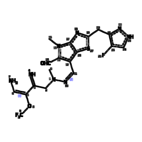 CN(CC(=N)/C(=C\N)OC(F)(F)F)/N=C\c1c(C=O)n(C)c2nc(Cc3n[nH]cc3F)sc12